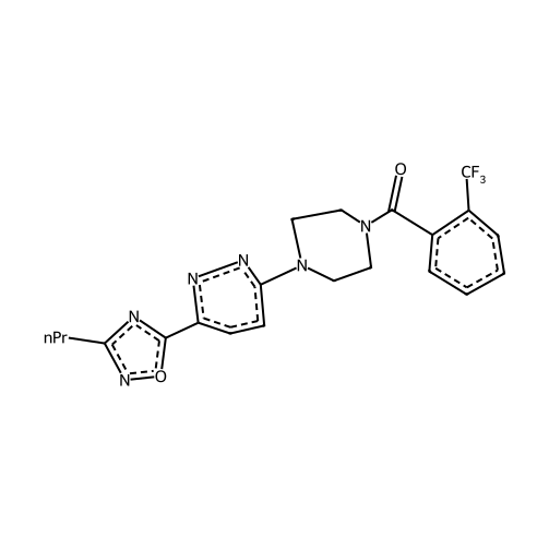 CCCc1noc(-c2ccc(N3CCN(C(=O)c4ccccc4C(F)(F)F)CC3)nn2)n1